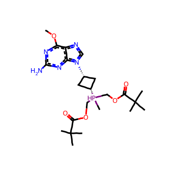 COc1nc(N)nc2c1ncn2[C@H]1C[C@@H]([PH](C)(COC(=O)C(C)(C)C)COC(=O)C(C)(C)C)C1